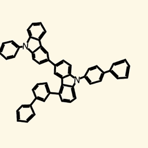 c1ccc(-c2ccc(-n3c4ccc(-c5ccc6c(c5)c5ccccc5n6-c5ccccc5)cc4c4c(-c5cccc(-c6ccccc6)c5)cccc43)cc2)cc1